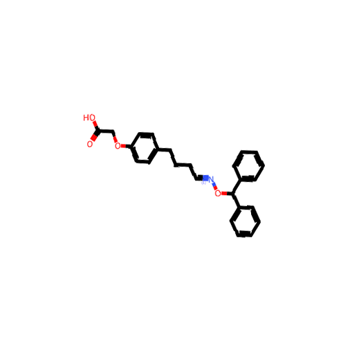 O=C(O)COc1ccc(CCC/C=N/OC(c2ccccc2)c2ccccc2)cc1